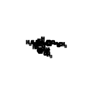 COCCOc1ccc(C(=O)Nc2ncc(SC)c(Nc3cccc(NC(C)=O)c3)n2)cc1